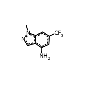 Cn1ncc2c(N)cc(C(F)(F)F)cc21